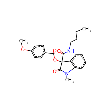 CCCCNC(=O)C1(OC(=O)c2ccc(OC)cc2)C(=O)N(C)c2ccccc21